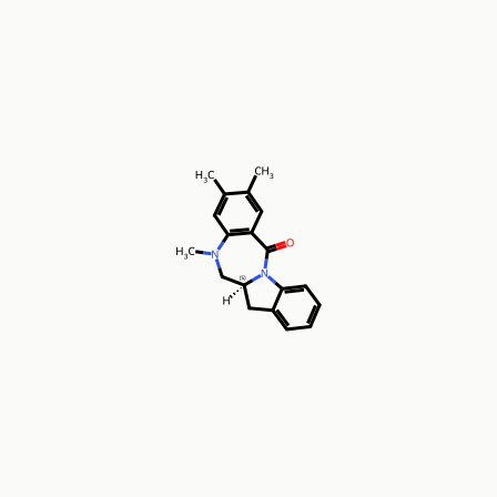 Cc1cc2c(cc1C)N(C)C[C@@H]1Cc3ccccc3N1C2=O